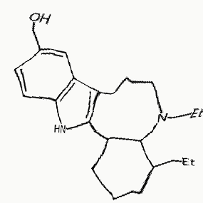 CCC1CCCC2c3[nH]c4ccc(O)cc4c3CCN(CC)C12